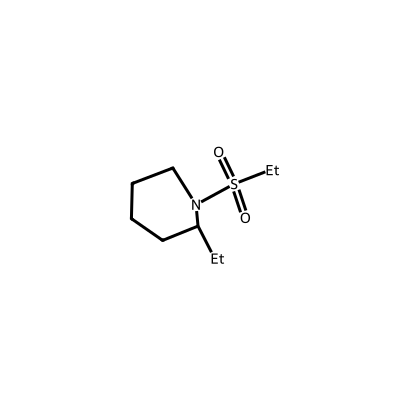 CCC1CCCCN1S(=O)(=O)CC